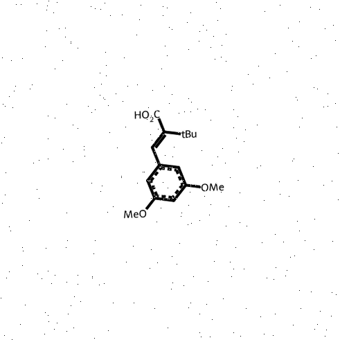 COc1cc(C=C(C(=O)O)C(C)(C)C)cc(OC)c1